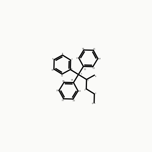 [CH2]CCC(C)C(c1ccccc1)(c1ccccc1)c1ccccc1